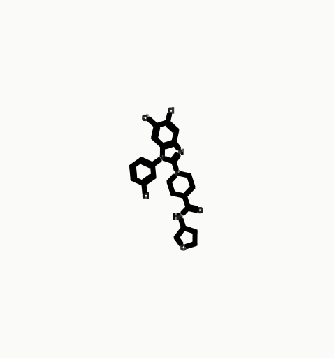 O=C(NC1CCOC1)C1CCN(c2nc3cc(Cl)c(Cl)cc3n2-c2cccc(Cl)c2)CC1